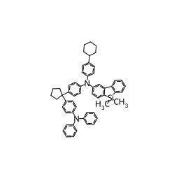 C[Si]1(C)c2ccccc2-c2cc(N(c3ccc(C4CCCCC4)cc3)c3ccc(C4(c5ccc(N(c6ccccc6)c6ccccc6)cc5)CCCC4)cc3)ccc21